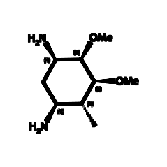 CO[C@H]1[C@H](C)[C@@H](N)C[C@@H](N)[C@H]1OC